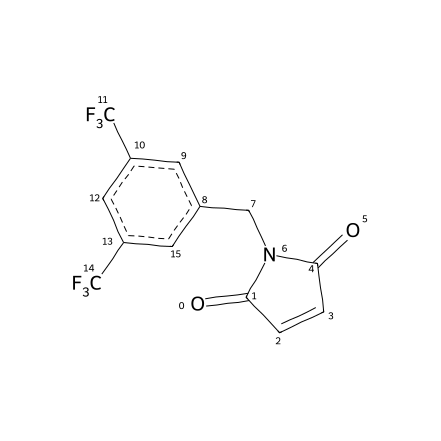 O=C1C=CC(=O)N1Cc1cc(C(F)(F)F)cc(C(F)(F)F)c1